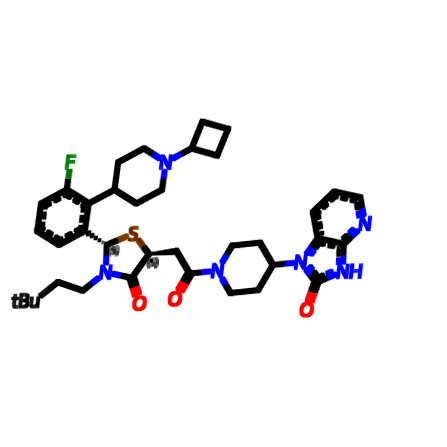 CC(C)(C)CCN1C(=O)[C@H](CC(=O)N2CCC(n3c(=O)[nH]c4ncccc43)CC2)S[C@H]1c1cccc(F)c1C1CCN(C2CCC2)CC1